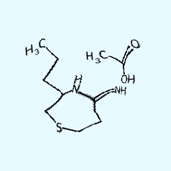 CC(=O)O.CCCC1CSCCC(=N)N1